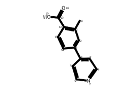 Cc1cc(-c2ccncc2)ccc1C(=O)O